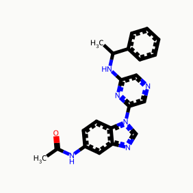 CC(=O)Nc1ccc2c(c1)ncn2-c1cncc(NC(C)c2ccccc2)n1